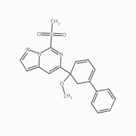 COC1(c2cc3ccnn3c(S(C)(=O)=O)n2)C=CC=C(c2ccccc2)C1